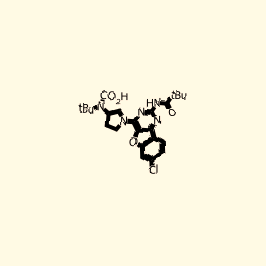 CC(C)(C)C(=O)Nc1nc(N2CCC(N(C(=O)O)C(C)(C)C)C2)c2oc3cc(Cl)ccc3c2n1